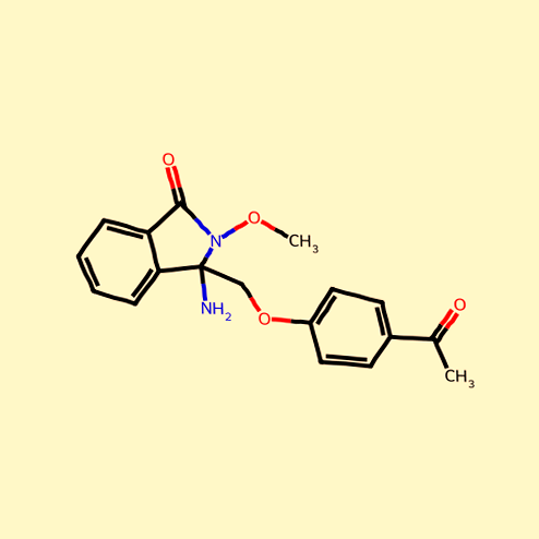 CON1C(=O)c2ccccc2C1(N)COc1ccc(C(C)=O)cc1